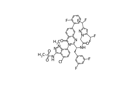 Cn1nc(NS(C)(=O)=O)c2c(Cl)ccc(-n3c([C@H](Cc4cc(F)cc(F)c4)NC(=O)Cn4nc(C(F)F)cc4C(F)F)nc4cc(-c5ccccc5F)ccc4c3=O)c21